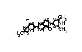 Cc1cn2cc(-c3ncc4c(=O)n(C5CC(C)N[C@H](C)C5)ccc4n3)cc(F)c2n1